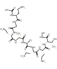 CCCNC(=O)[C@@H](NC(=O)[C@H](CCN)NC(=O)[C@H](CCN)NC(=O)[C@H](CC)NC(=O)[C@@H](C)NC(=O)[C@H](CCN)NC(=O)CNC(=O)[C@H](CCN)NC(=O)CCC)[C@@H](C)O